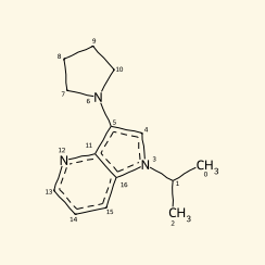 CC(C)n1cc(N2CCCC2)c2ncccc21